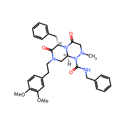 COc1ccc(CCN2C[C@H]3N(C(=O)CN(C)N3C(=O)NCc3ccccc3)[C@@H](Cc3ccccc3)C2=O)cc1OC